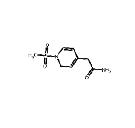 CS(=O)(=O)N1C=CC([CH]C(N)=O)=CC1